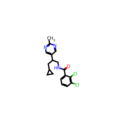 Cc1ncc(C(CNC(=O)c2cccc(Cl)c2Cl)CC2CC2)cn1